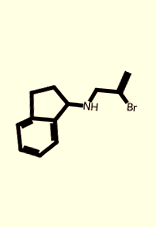 C=C(Br)CNC1CCc2ccccc21